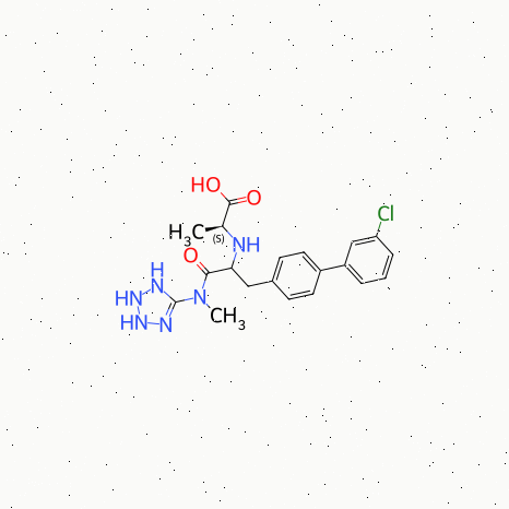 C[C@H](NC(Cc1ccc(-c2cccc(Cl)c2)cc1)C(=O)N(C)C1=NNNN1)C(=O)O